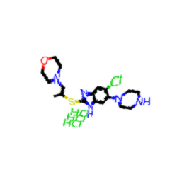 CC(CN1CCOCC1)Sc1nc2cc(Cl)c(N3CCNCC3)cc2[nH]1.Cl.Cl.Cl